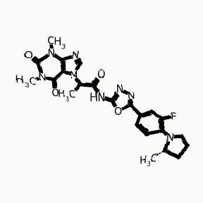 CC(C(=O)Nc1nnc(-c2ccc(N3CCC[C@@H]3C)c(F)c2)o1)n1cnc2c1c(=O)n(C)c(=O)n2C